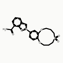 NC(=O)c1cccc2cn(-c3ccc4c(c3)OCCCS(=O)(=O)CCCO4)nc12